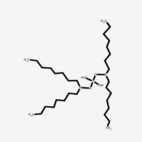 CCCCCCCCP(CCCCCCCC)[O][Ti]([OH])([OH])[O]P(CCCCCCCC)CCCCCCCC